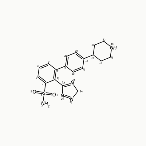 NS(=O)(=O)c1cccc(-c2ccc(C3CCNCC3)cc2)c1C1=NCN=N1